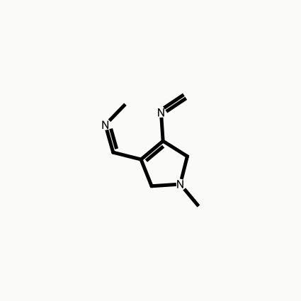 C=NC1=C(/C=N\C)CN(C)C1